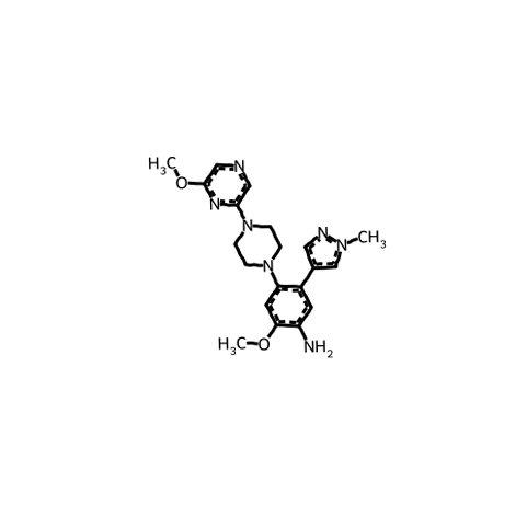 COc1cncc(N2CCN(c3cc(OC)c(N)cc3-c3cnn(C)c3)CC2)n1